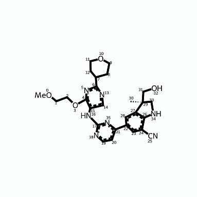 COCCOc1nc(C2CCOCC2)ncc1Nc1nccc(-c2cc(C#N)c3c(c2)[C@@](C)(CO)CN3)n1